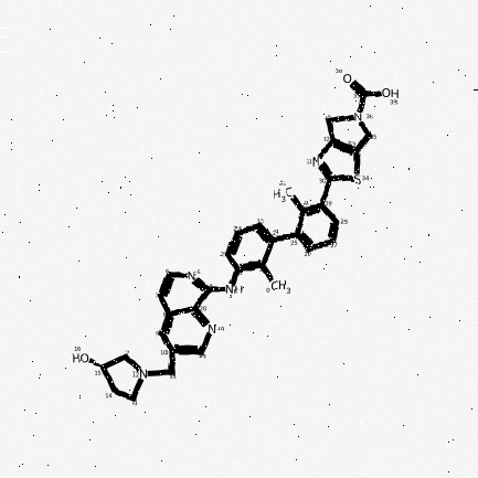 Cc1c(Nc2nccc3cc(CN4CC[C@@H](O)C4)cnc23)cccc1-c1cccc(-c2nc3c(s2)CN(C(=O)O)C3)c1C